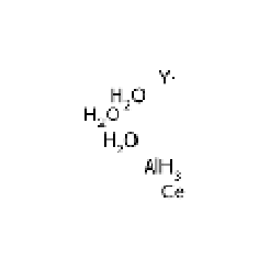 O.O.O.[AlH3].[Ce].[Y]